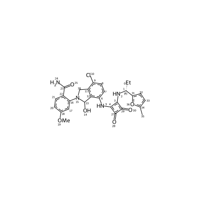 CC[C@@H](Nc1c(Nc2ccc(Cl)c3c2C(O)N(c2cc(OC)ccc2C(N)=O)C3)c(=O)c1=O)c1ccc(C)o1